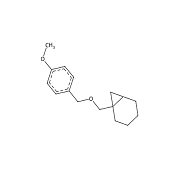 COc1ccc(COCC23CCCCC2C3)cc1